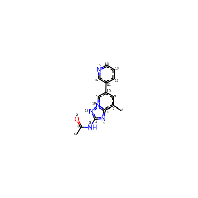 CC(=O)Nc1nc2c(C)cc(-c3cccnc3)cn2n1